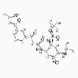 Cc1cc(-c2cccc(C(=O)CC(=O)Nc3cc(Cl)c(NC(C)C)cc3NC(=O)OC(C)(C)C)c2)on1